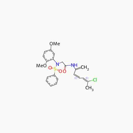 C=C(/C=C\C=C(/C)Cl)NC(=O)CN(c1cc(OC)ccc1OC)S(=O)(=O)c1ccccc1